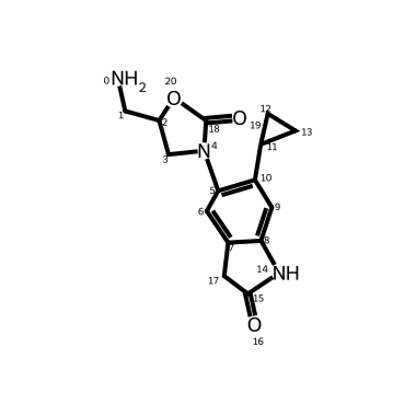 NCC1CN(c2cc3c(cc2C2CC2)NC(=O)C3)C(=O)O1